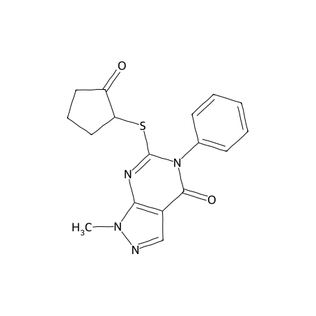 Cn1ncc2c(=O)n(-c3ccccc3)c(SC3CCCC3=O)nc21